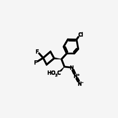 [N-]=[N+]=N[C@H](C(=O)O)[C@@H](c1ccc(Cl)cc1)C1CC(F)(F)C1